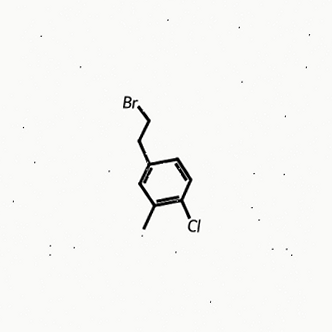 Cc1cc(CCBr)ccc1Cl